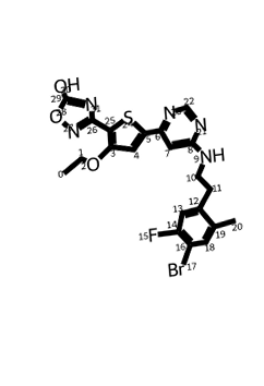 CCOc1cc(-c2cc(NCCc3cc(F)c(Br)cc3C)ncn2)sc1-c1noc(O)n1